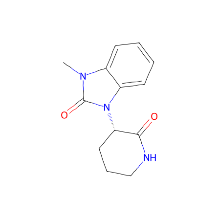 Cn1c(=O)n([C@H]2CCCNC2=O)c2ccccc21